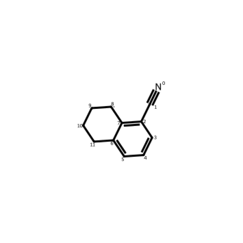 N#Cc1cccc2c1[CH]CCC2